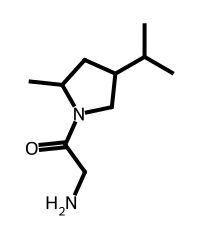 CC(C)C1CC(C)N(C(=O)CN)C1